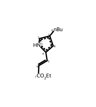 CCCCc1c[nH]c(/C=C/C(=O)OCC)c1